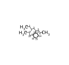 CCCCCCCC.CCCc1ccccc1